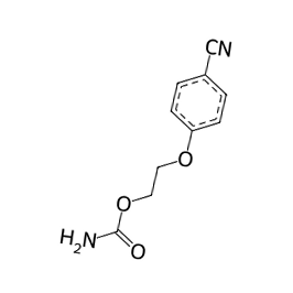 N#Cc1ccc(OCCOC(N)=O)cc1